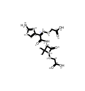 CC1(C)[C@H](NC(=O)/C(=N\OCC(=O)O)c2csc(N)n2)C(=O)N1OCC(=O)O